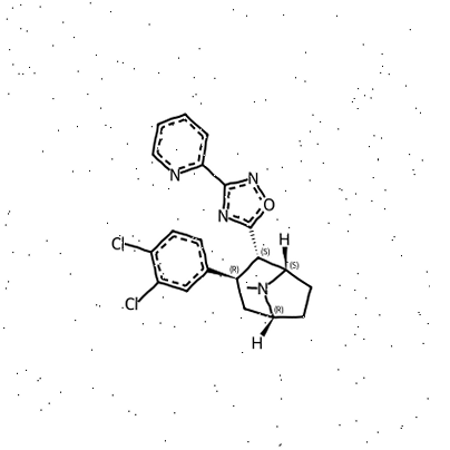 CN1[C@@H]2CC[C@H]1[C@@H](c1nc(-c3ccccn3)no1)[C@H](c1ccc(Cl)c(Cl)c1)C2